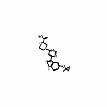 C=C(O)[C@H]1CN(c2cc(-c3n[nH]c4ccc(OC5(C)CC5)cc34)ncn2)CCO1